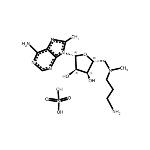 Cc1nc2c(N)ncnc2n1[C@@H]1O[C@H](CN(C)CCCN)[C@@H](O)[C@H]1O.O=S(=O)(O)O